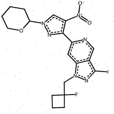 O=[N+]([O-])c1cn(C2CCCCO2)nc1-c1cc2c(cn1)c(I)nn2CC1(F)CCC1